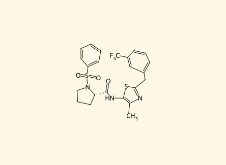 Cc1nc(Cc2cccc(C(F)(F)F)c2)sc1NC(=O)[C@@H]1CCCN1S(=O)(=O)c1ccccc1